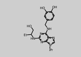 CCC(CO)Nc1nc(NCc2ccc(O)c(O)c2)c2ncn(C(C)C)c2n1